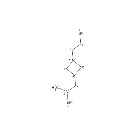 CCCN(C)CC1CN(CCC(C)C)C1